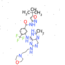 C=C/N=C1/C=NC(NCCCN2CCOCC2)=N/C1=C(/N)Nc1cc(C(=O)Nc2cc(C(C)(C)C)on2)ccc1C(F)(F)F